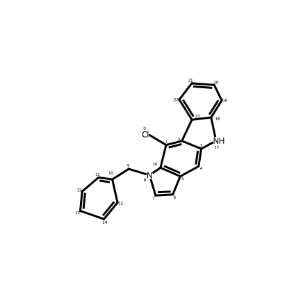 Clc1c2c(cc3ccn(Cc4ccccc4)c13)[nH]c1ccccc12